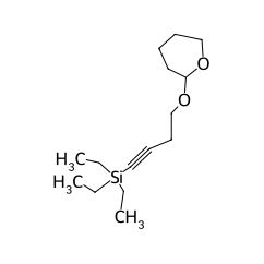 CC[Si](C#CCCOC1CCCCO1)(CC)CC